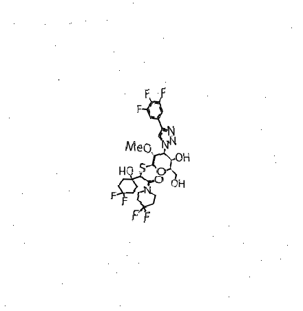 CO[C@@H]1[C@@H](n2cc(-c3cc(F)c(F)c(F)c3)nn2)[C@@H](O)[C@@H](CO)O[C@H]1S[C@@H](C(=O)N1CCC(F)(F)CC1)C1(O)CCC(F)(F)CC1